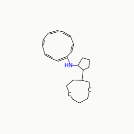 C1=C\C=C/C=C\C(NC2CCCC2C2CCCCCCCC2)=C/C=C\C=C/1